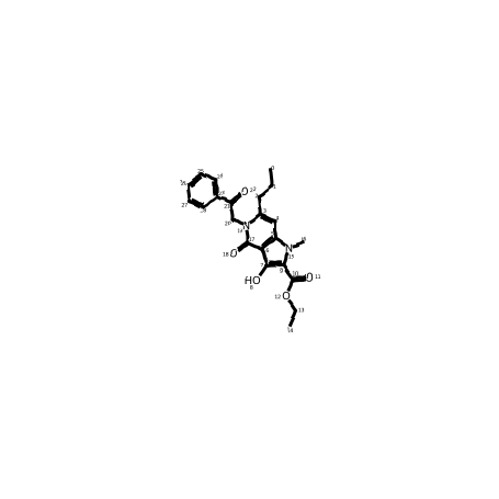 CCCc1cc2c(c(O)c(C(=O)OCC)n2C)c(=O)n1CC(=O)c1ccccc1